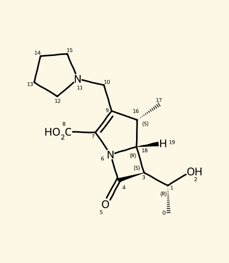 C[C@@H](O)[C@H]1C(=O)N2C(C(=O)O)=C(CN3CCCC3)[C@H](C)[C@H]12